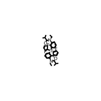 CCN(C(=O)C(C)C)c1ccc(F)[c]([Ti]([C]2=CC=CC2)([C]2=CC=CC2)[c]2c(F)ccc(N(CC)C(=O)C(C)C)c2F)c1F